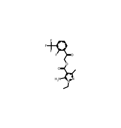 CCn1nc(C)c(C(=O)OCC(=O)c2cccc(C(F)(F)F)c2F)c1N